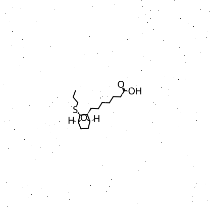 CCCS[C@H]1[C@@H](CCCCCCC(=O)O)[C@H]2CC[C@@H]1O2